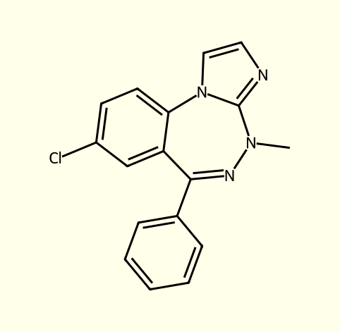 CN1N=C(c2ccccc2)c2cc(Cl)ccc2-n2ccnc21